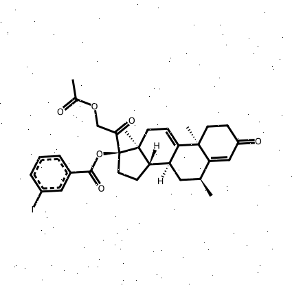 CC(=O)OCC(=O)[C@@]1(OC(=O)c2cccc(I)c2)CC[C@H]2[C@@H]3C[C@H](C)C4=CC(=O)CC[C@]4(C)C3=CC[C@@]21C